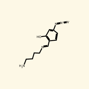 [N-]=[N+]=Nc1ccc(C=NCCCCN)c(O)c1